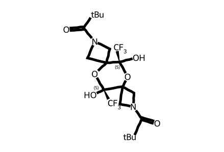 CC(C)(C)C(=O)N1CC2(C1)O[C@](O)(C(F)(F)F)C1(CN(C(=O)C(C)(C)C)C1)O[C@]2(O)C(F)(F)F